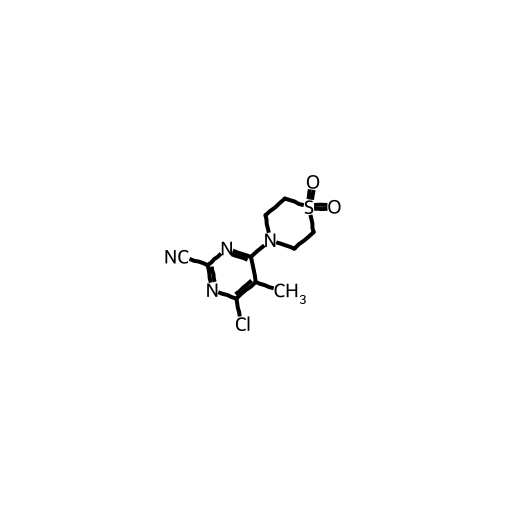 Cc1c(Cl)nc(C#N)nc1N1CCS(=O)(=O)CC1